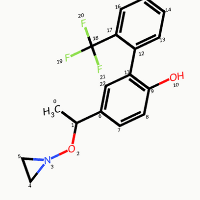 CC(ON1CC1)c1ccc(O)c(-c2ccccc2C(F)(F)F)c1